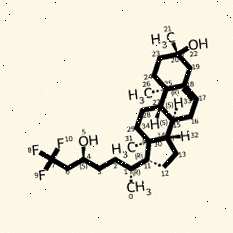 C[C@H](CC[C@H](O)CC(F)(F)F)[C@H]1CC[C@H]2[C@@H]3CC=C4C[C@@](C)(O)CC[C@]4(C)[C@H]3CC[C@]12C